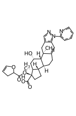 C[C@]12Cc3cnn(-c4ccccn4)c3C=C1CC[C@@H]1[C@@H]2[C@@H](O)C[C@@]2(C)[C@H]1CC[C@]2(OC(=O)C1CC=CO1)C(=O)O